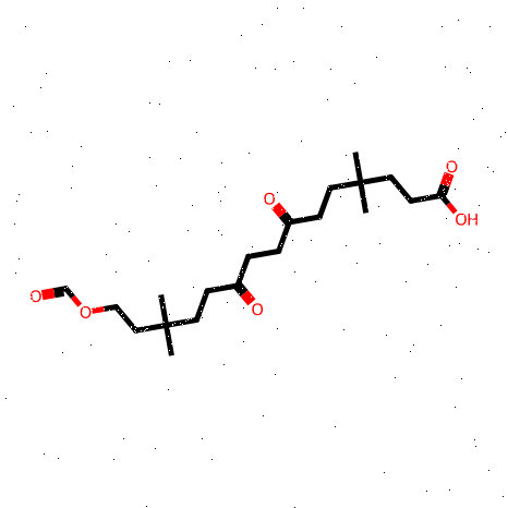 CC(C)(CCOC=O)CCC(=O)CCC(=O)CCC(C)(C)CCC(=O)O